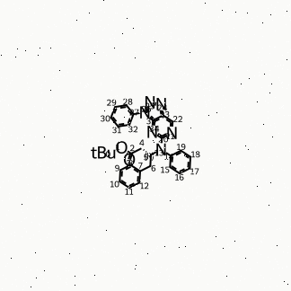 CC(C)(C)OC(=O)C[C@@H](Cc1ccccc1)N(c1ccccc1)c1ncc2nnn(-c3ccccc3)c2n1